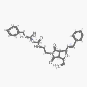 C=CC1OC(/C=C/c2ccccc2)C2C(=O)N(CCNC(=O)/N=C(\N)NCc3ccccc3)C(=O)C12